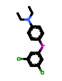 CCN(CC)c1ccc([I+]c2cc(Cl)cc(Cl)c2)cc1